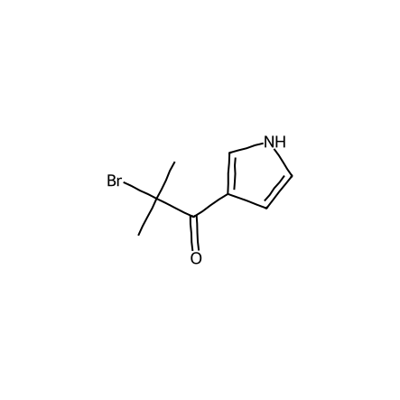 CC(C)(Br)C(=O)c1cc[nH]c1